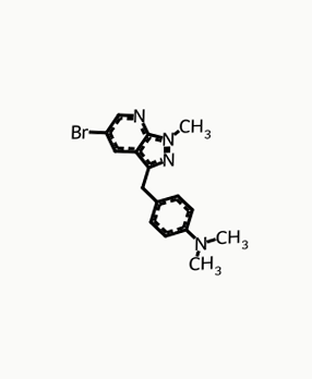 CN(C)c1ccc(Cc2nn(C)c3ncc(Br)cc23)cc1